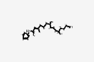 C/C(=C\C(=O)Nc1ccccc1)CCCC(C)CCCC(C)CCCC(C)C